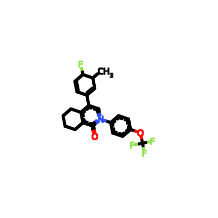 CC1C=C(c2cn(-c3ccc(OC(F)(F)F)cc3)c(=O)c3c2CCCC3)C=CC1F